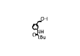 CC(C)(C)C(=O)Nc1cccc(CCO)c1